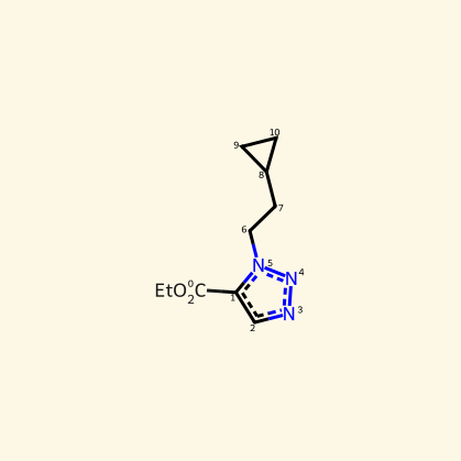 CCOC(=O)c1cnnn1CCC1CC1